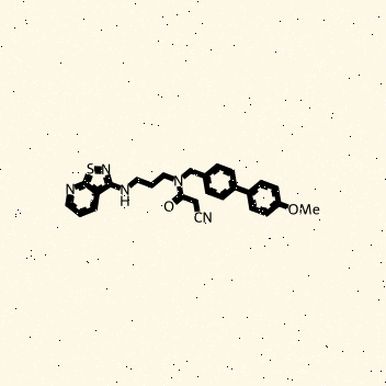 COc1ccc(-c2ccc(CN(CCCNc3nsc4ncccc34)C(=O)CC#N)cc2)cc1